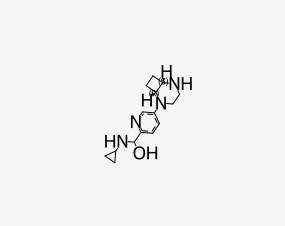 OC(NC1CC1)c1ccc(N2CCN[C@H]3CC[C@H]32)cn1